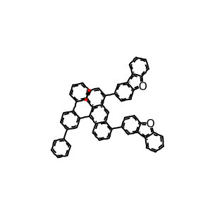 c1ccc(-c2ccc(-c3ccccc3)c(-c3c4cccc(-c5ccc6oc7ccccc7c6c5)c4cc4c(-c5ccc6oc7ccccc7c6c5)cccc34)c2)cc1